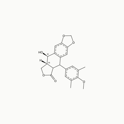 COc1c(C)cc(C2c3cc4c(cc3[C@H](O)[C@H]3COC(=O)C23)OCO4)cc1C